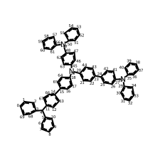 c1ccc(C(c2ccccc2)c2ccc(-c3ccc(N(c4ccc(-c5ccc(N(c6ccccc6)c6ccccc6)cc5)cc4)c4ccc(N(c5ccccc5)c5ccccc5)cc4)cc3)cc2)cc1